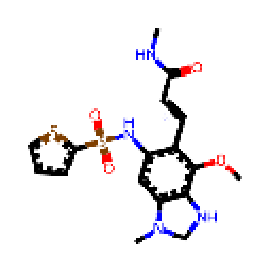 CNC(=O)/C=C/c1c(NS(=O)(=O)c2cccs2)cc2c(c1OC)NCN2C